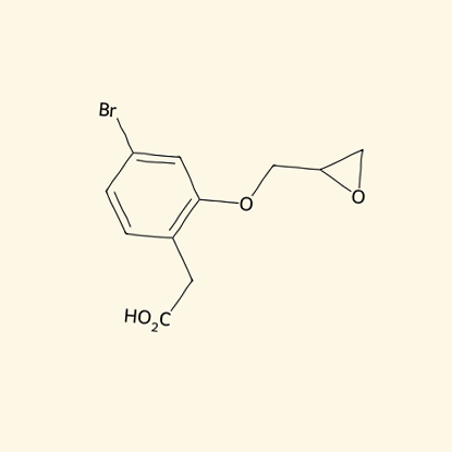 O=C(O)Cc1ccc(Br)cc1OCC1CO1